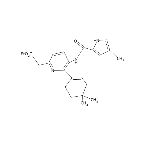 CCOC(=O)Cc1ccc(NC(=O)c2cc(C)c[nH]2)c(C2=CCC(C)(C)CC2)n1